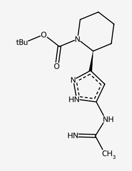 CC(=N)Nc1cc([C@@H]2CCCCN2C(=O)OC(C)(C)C)n[nH]1